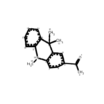 CC(=O)c1ccc2c(c1)C(C)(C)c1ccccc1N2C